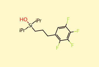 CC(C)[Si](O)(CCCc1cc(F)c(F)c(F)c1F)C(C)C